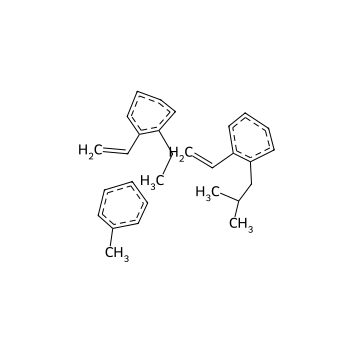 C=Cc1ccccc1CC.C=Cc1ccccc1CC(C)C.Cc1ccccc1